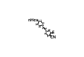 CCCCCCc1ccc(C#Cc2ccc(C#N)c(F)c2)cc1